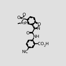 C[AsH]S(=O)(=O)c1ccc2onc(C(=O)Nc3ccc(C#N)cc3C(=O)O)c2c1